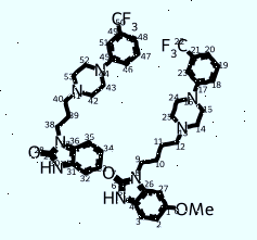 COc1ccc2[nH]c(=O)n(CCCCN3CCN(c4cccc(C(F)(F)F)c4)CC3)c2c1.O=c1[nH]c2ccccc2n1CCCN1CCN(c2cccc(C(F)(F)F)c2)CC1